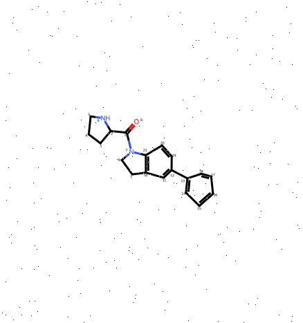 O=C(C1CCCN1)N1CCc2cc(-c3ccccc3)ccc21